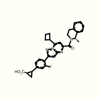 C[C@@H]1c2ccccc2CCN1C(=O)c1cc(C2CCC2)n2nc(-c3ccc(C4C[C@H]4C(=O)O)cc3F)cc2n1